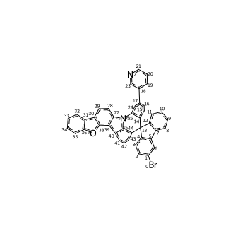 Brc1ccc2c(c1)-c1ccccc1C21c2ccc(-c3cccnc3)cc2-n2c3ccc4c5ccccc5oc4c3c3cccc1c32